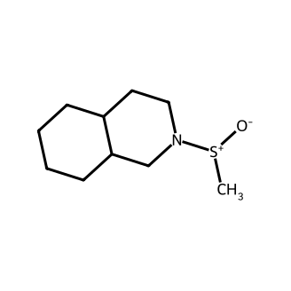 C[S+]([O-])N1CCC2CCCCC2C1